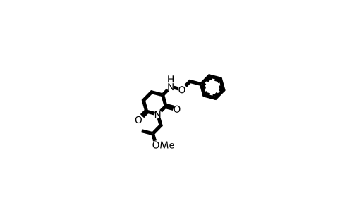 COC(C)CN1C(=O)CCC(NOCc2ccccc2)C1=O